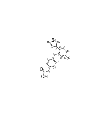 O=C(O)Cc1ccc(Cc2cc(F)ccc2-c2ccsc2)cc1